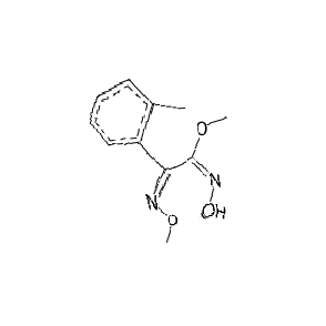 CO/N=C(\C(=N/O)OC)c1ccccc1C